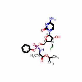 CC(C)OC(=O)[C@H](C)NP(=O)(OC[C@H]1O[C@@H](n2ccc(N)nc2=O)[C@H](O)[C@@H]1CF)Oc1ccccc1